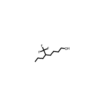 CCCC(CCCCO)C(F)(F)F